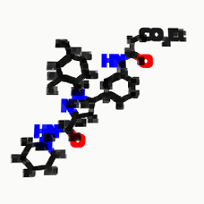 CCOC(=O)CC(=O)Nc1cccc(C2CC(C(=O)NN3CCCCC3)=NN2c2ccc(C)cc2C)c1